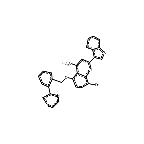 CCc1ccc(OCc2ccccc2-c2cnccn2)c2c(C(=O)O)cc(-c3csc4ccccc34)nc12